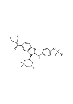 CCN(CC)C(=O)c1ccc2nc(Nc3ccc(OC(F)(F)I)cc3)n([C@H]3C[C@@H](C)CC(C)(C)C3)c2c1